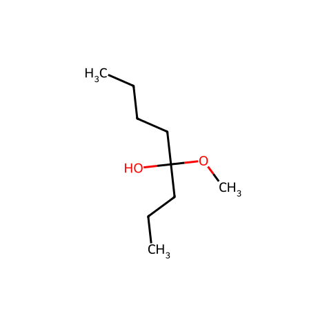 CCCCC(O)(CCC)OC